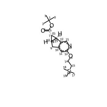 CC(C)(C)OC(=O)[C@H]1[C@@H]2Cc3cc(OCC[Si](C)(C)C)ncc3[C@@H]21